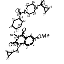 COc1ccc2c(c1)c(=O)n(C[C@H]1CC[C@H](C(=O)N3CCN(C(=O)C4CC4)CC3)CC1)c(=O)n2CC1CC1